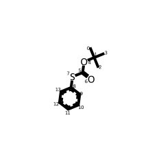 CC(C)(C)OC(=O)Sc1ccccc1